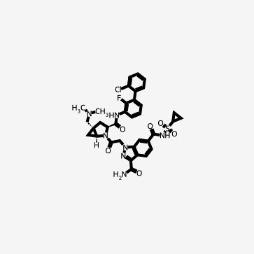 CN(C)C[C@@]12C[C@@H]1N(C(=O)Cn1nc(C(N)=O)c3ccc(C(=O)NS(=O)(=O)C4CC4)cc31)[C@H](C(=O)Nc1cccc(-c3ccccc3Cl)c1F)C2